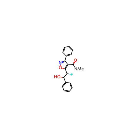 CNC(=O)c1c(-c2ccccc2)noc1C(F)C(O)c1ccccc1